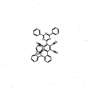 N#Cc1c(C#N)c(-c2ccccc2-n2c3ccccc3c3ccncc32)c(C#N)c(C#N)c1-c1nc(-c2ccccc2)nc(-c2ccccc2)n1